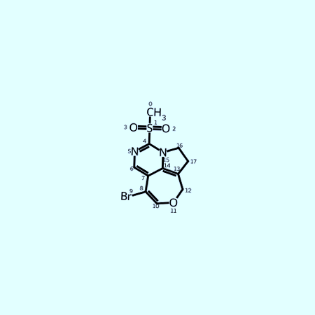 CS(=O)(=O)C1=NC=C2C(Br)=COCC3=C2N1CC3